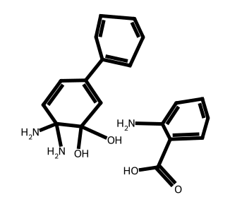 NC1(N)C=CC(c2ccccc2)=CC1(O)O.Nc1ccccc1C(=O)O